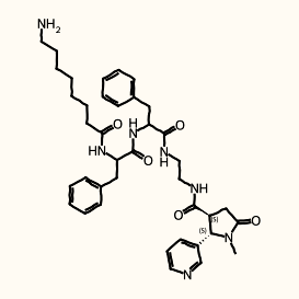 CN1C(=O)C[C@H](C(=O)NCCNC(=O)C(Cc2ccccc2)NC(=O)C(Cc2ccccc2)NC(=O)CCCCCCCN)[C@H]1c1cccnc1